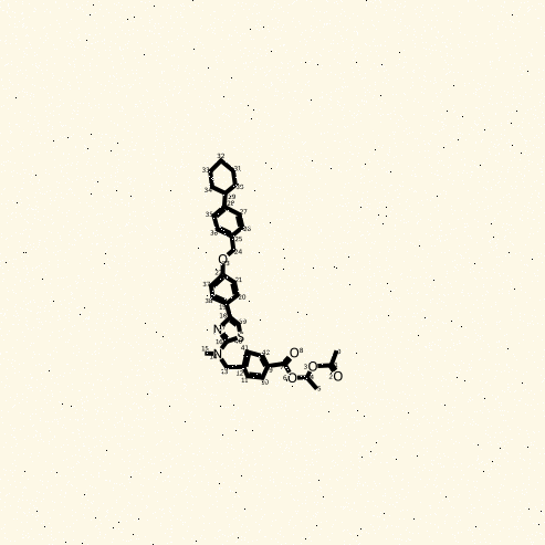 CC(=O)OC(C)OC(=O)c1ccc(CN(C)c2nc(-c3ccc(OCc4ccc(C5CCCCC5)cc4)cc3)cs2)cc1